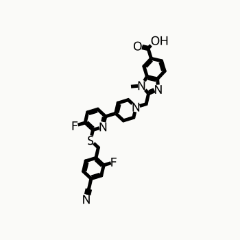 Cn1c(CN2CC=C(c3ccc(F)c(SCc4ccc(C#N)cc4F)n3)CC2)nc2ccc(C(=O)O)cc21